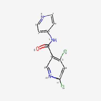 O=C(Nc1ccncc1)c1cnc(Cl)cc1Cl